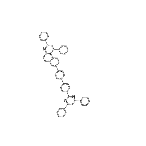 c1ccc(-c2cc(-c3ccccc3)nc(-c3ccc(-c4ccc(-c5ccc6c(ccc7nc(-c8ccccc8)cc(-c8ccccc8)c76)c5)cc4)cc3)n2)cc1